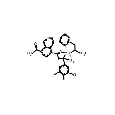 CC(Cc1ncccn1)C(=O)O.NC(=O)c1ccc(C2=NOC(c3cc(Cl)c(F)c(Cl)c3)(C(F)(F)F)C2)c2ccncc12